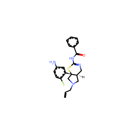 C=CCN1C[C@@H]2CN=C(NC(=O)c3ccccc3)S[C@@]2(c2cc(N)ccc2F)C1